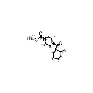 CC1CCCCN1C(=O)N1CCN(C(=O)OC(C)(C)C)CC1